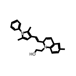 Cc1ccc2c(c1)C=CC(/C=C/c1cc(C)n(-c3ccccc3)c1C)N2CCO